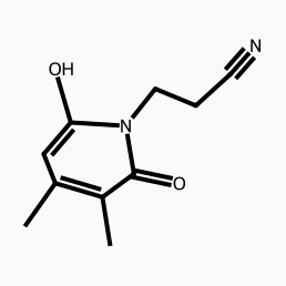 Cc1cc(O)n(CCC#N)c(=O)c1C